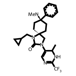 CN[C@]1(c2ccccc2)CC[C@]2(CC1)CN(C1=CN=C(C(F)(F)F)NC1C)C(=O)N2CC1CC1